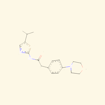 CC(C)c1cnc(NC(=O)Cc2ccc(N3CCOCC3)cc2)s1